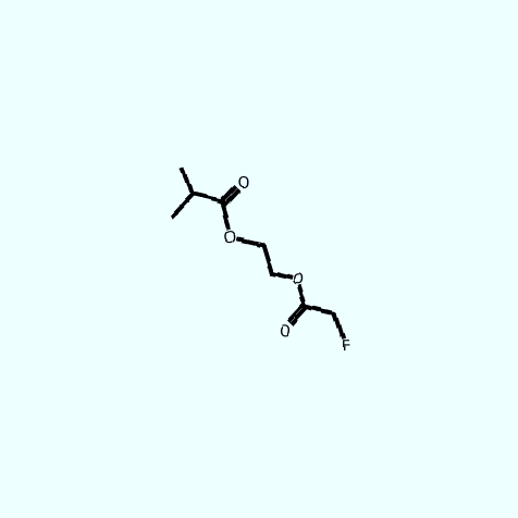 CC(C)C(=O)OCCOC(=O)CF